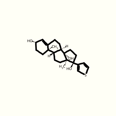 C[C@]12CC[C@H]3[C@@H](CCC4=C[C@@H](O)CC[C@@]43C)[C@@]1(O)CC[C@]2(O)c1ccsc1